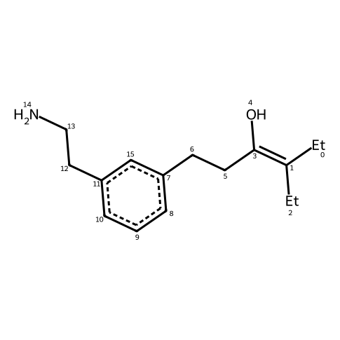 CCC(CC)=C(O)CCc1cccc(CCN)c1